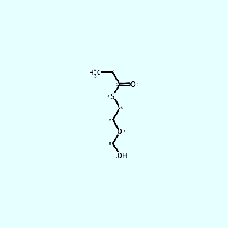 CCC(=O)SCCOCO